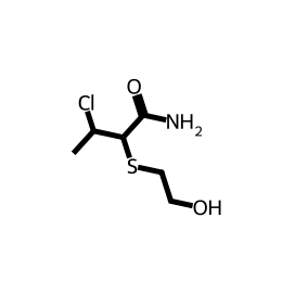 CC(Cl)C(SCCO)C(N)=O